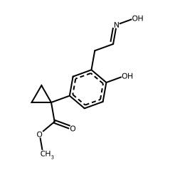 COC(=O)C1(c2ccc(O)c(CC=NO)c2)CC1